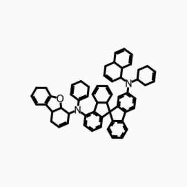 C1=CC2CC=CC(N(c3ccc4c(c3)C3(c5ccccc5-4)c4cccc(N(C5=CCCC=C5)C5C=CCC6C7=C(CCC=C7)OC65)c4C4C=CC=CC43)C3CC=CCC3)C2C=C1